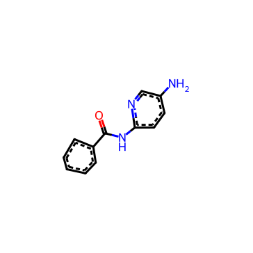 Nc1ccc(NC(=O)c2ccccc2)nc1